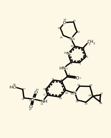 Cc1ccc(NC(=O)c2ccc(NS(=O)(=O)CCO)cc2N2CCC3(CC2)CC3)nc1N1CCOCC1